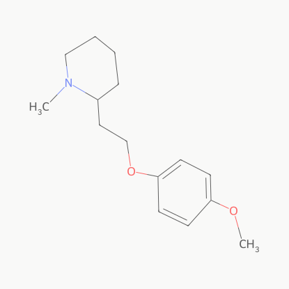 COc1ccc(OCCC2CCCCN2C)cc1